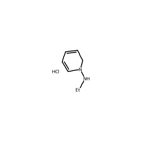 CCNN1C=CC=CC1.Cl